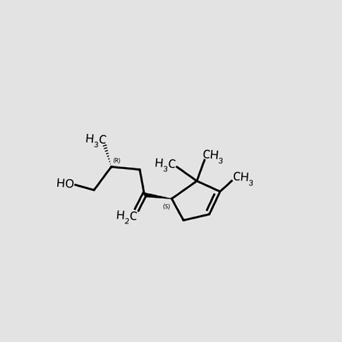 C=C(C[C@@H](C)CO)[C@@H]1CC=C(C)C1(C)C